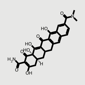 CN(C)C(=O)c1ccc2cc3c(c(O)c2c1)C(=O)C1=C(O)[C@]2(O)C(=O)C(C(N)=O)=C(O)C[C@@H]2CC1C3